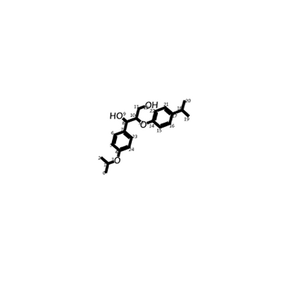 CC(C)Oc1ccc(C(O)C(CO)Oc2ccc(C(C)C)cc2)cc1